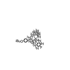 [2H]c1c([2H])c(C([2H])([2H])N(C(=O)NC([2H])([2H])c2ccc(OCC(C)C)cc2)C2CC([2H])([2H])N(C([2H])([2H])[2H])C([2H])([2H])C2)c([2H])c([2H])c1F